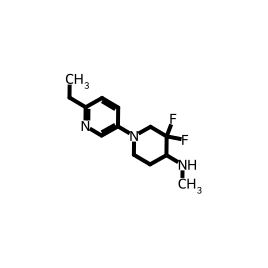 CCc1ccc(N2CCC(NC)C(F)(F)C2)cn1